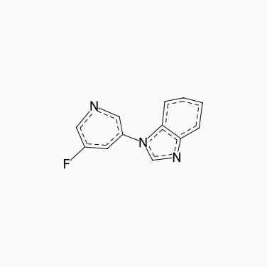 Fc1cncc(-n2cnc3ccccc32)c1